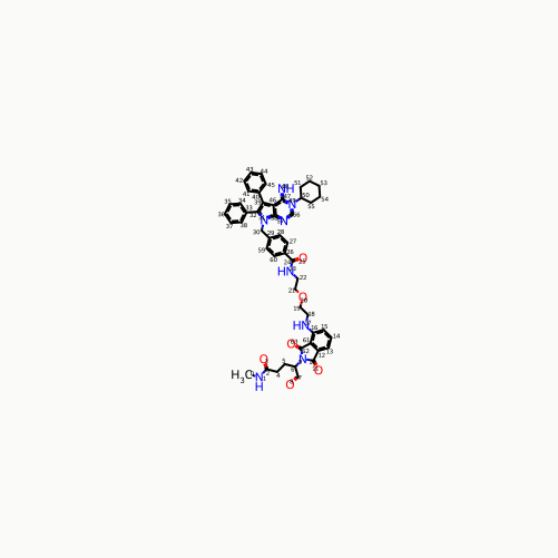 CNC(=O)CCC(C=O)N1C(=O)c2cccc(NCCOCCNC(=O)c3ccc(Cn4c(-c5ccccc5)c(-c5ccccc5)c5c(=N)n(C6CCCCC6)cnc54)cc3)c2C1=O